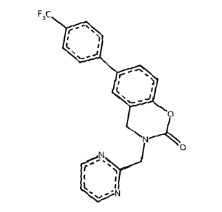 O=C1Oc2ccc(-c3ccc(C(F)(F)F)cc3)cc2CN1Cc1ncccn1